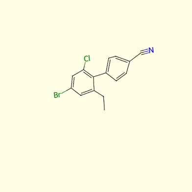 CCc1cc(Br)cc(Cl)c1-c1ccc(C#N)cc1